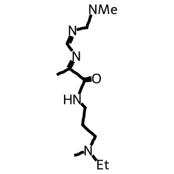 CCN(C)CCCNC(=O)/C(C)=N/C=N\CNC